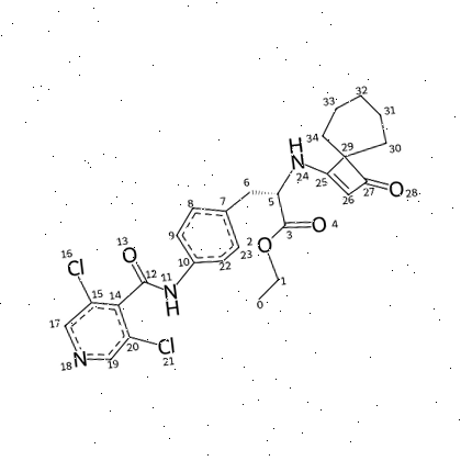 CCOC(=O)[C@H](Cc1ccc(NC(=O)c2c(Cl)cncc2Cl)cc1)NC1=CC(=O)C12CCCCC2